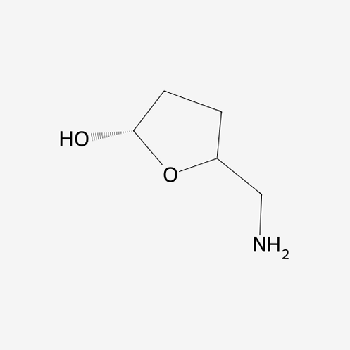 NCC1CC[C@@H](O)O1